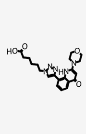 O=C(O)CCCCCn1cc(-c2cccc3c(=O)cc(N4CCOCC4)[nH]c23)nn1